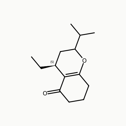 CC[C@H]1CC(C(C)C)OC2=C1C(=O)CCC2